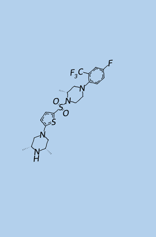 C[C@@H]1CN(c2ccc(S(=O)(=O)N3CCN(c4ccc(F)cc4C(F)(F)F)C[C@H]3C)s2)C[C@H](C)N1